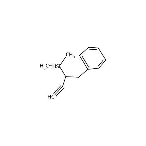 C#CC(Cc1ccccc1)[SiH](C)C